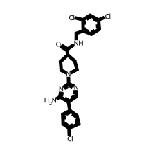 Nc1nc(N2CCC(C(=O)NCc3ccc(Cl)cc3Cl)CC2)ncc1-c1ccc(Cl)cc1